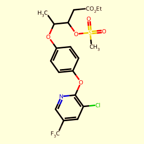 CCOC(=O)CC(OS(C)(=O)=O)C(C)Oc1ccc(Oc2ncc(C(F)(F)F)cc2Cl)cc1